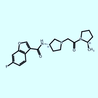 C[C@@H]1CCCN1C(=O)CN1CC[C@H](NC(=O)c2coc3cc(F)ccc23)C1